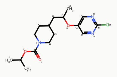 CC(C)OC(=O)N1CCC(CC(C)Oc2cnc(Cl)nc2)CC1